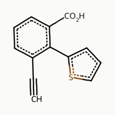 C#Cc1cccc(C(=O)O)c1-c1cccs1